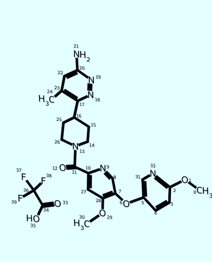 COc1ccc(Oc2cnc(C(=O)N3CCC(c4nnc(N)cc4C)CC3)cc2OC)cn1.O=C(O)C(F)(F)F